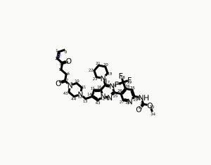 C/C=C\C(=O)CCC(=O)N1CCN(Cc2cc3c(N4CCCCC4)nc(-c4cnc(NC(=O)OC)cc4C(F)(F)F)nn3c2)CC1